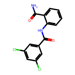 NC(=O)c1ccccc1NC(=O)c1cc(Cl)cc(Cl)c1